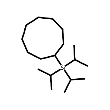 CC(C)[Si](C(C)C)(C(C)C)C1CCCCCCCC1